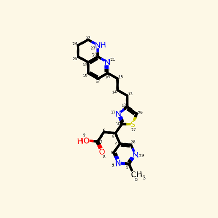 Cc1ncc(C(CC(=O)O)c2nc(CCCc3ccc4c(n3)NCCC4)cs2)cn1